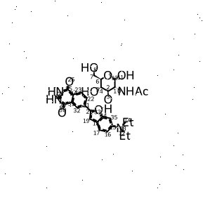 CC(=O)N[C@@H]1[C@@H](O)[C@H](O)[C@@H](CO)O[C@H]1O.CCN(CC)c1ccc2cc(-c3ccc4c(=O)[nH][nH]c(=O)c4c3)oc2c1